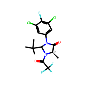 C[C@@H]1C(=O)N(c2cc(Cl)c(F)c(Cl)c2)C(C(C)(C)C)N1C(=O)C(F)(F)F